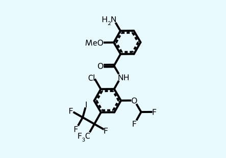 COc1c(N)cccc1C(=O)Nc1c(Cl)cc(C(F)(C(F)(F)F)C(F)(F)I)cc1OC(F)F